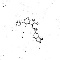 O=C1Nc2ncc(-c3ccco3)cc2/C1=C/Nc1ccc2cn[nH]c2c1